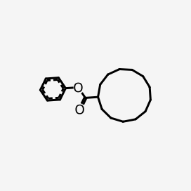 O=C(Oc1ccccc1)C1CCCCCCCCCCCC1